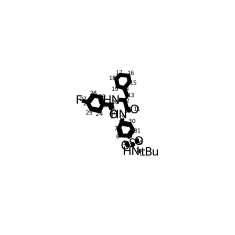 CC(C)(C)NS(=O)(=O)c1ccc(NC(=O)[C@H](CC2CCCCC2)NC(=O)c2ccc(F)cc2)cc1